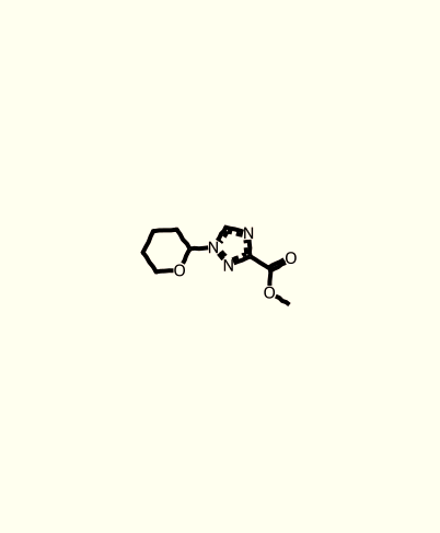 COC(=O)c1ncn(C2CCCCO2)n1